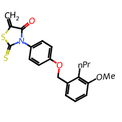 C=C1SC(=S)N(c2ccc(OCc3cccc(OC)c3CCC)cc2)C1=O